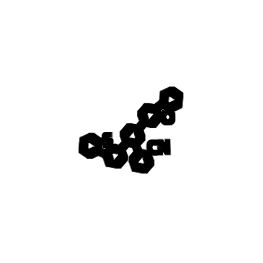 N#Cc1ccccc1-c1cc(-c2ccc3c(c2)oc2ccccc23)ccc1-c1cccc2c1sc1ccccc12